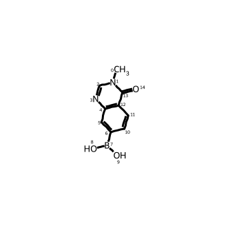 Cn1cnc2cc(B(O)O)ccc2c1=O